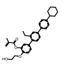 C=C(C)C(=O)Oc1cc(-c2ccc(-c3ccc(C4CCCCC4)cc3)cc2CC)ccc1OCCO